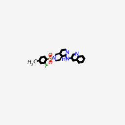 Cc1ccc(S(=O)(=O)N2CCc3c(ccnc3Nc3cnc4ccccc4c3)C2)c(F)c1